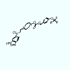 O=C(OCc1ccc(OC(F)(F)F)cc1)ON1CCN(CC[S+]([O-])c2ccc3nn[nH]c3c2)CC1